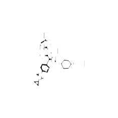 O=C(Nc1ncc(F)s1)/C(=N/O[C@H]1CC[C@@H](O)CC1)c1ccc(S(=O)(=O)C2CC2)cc1